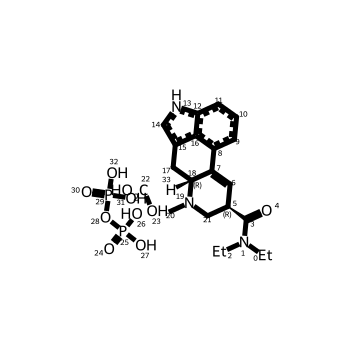 CCN(CC)C(=O)[C@@H]1C=C2c3cccc4[nH]cc(c34)C[C@H]2N(C)C1.O=C(O)O.O=P(O)(O)OP(=O)(O)O